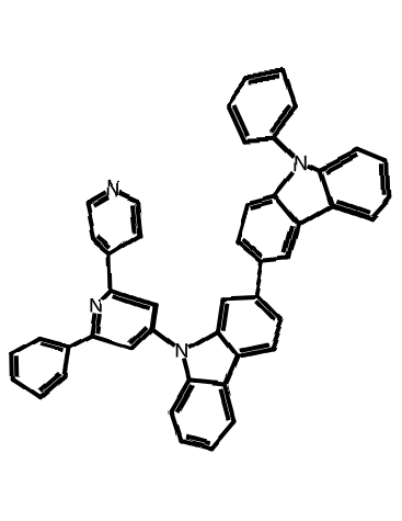 c1ccc(-c2cc(-n3c4ccccc4c4ccc(-c5ccc6c(c5)c5ccccc5n6-c5ccccc5)cc43)cc(-c3ccncc3)n2)cc1